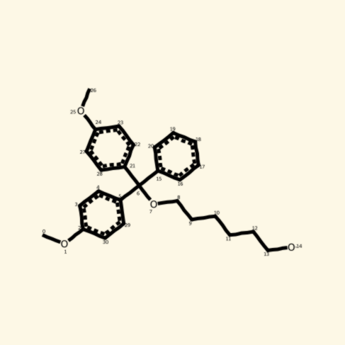 COc1ccc(C(OCCCCCC[O])(c2ccccc2)c2ccc(OC)cc2)cc1